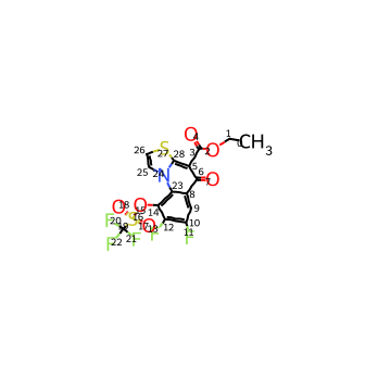 CCOC(=O)c1c(=O)c2cc(F)c(F)c(OS(=O)(=O)C(F)(F)F)c2n2ccsc12